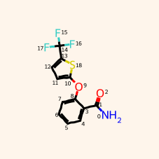 NC(=O)c1ccccc1Oc1ccc(C(F)(F)F)s1